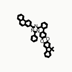 CC1(C)c2ccccc2-c2cc3c(cc21)Oc1cc(-c2ccccc2-c2nc(-c4ccccc4)nc(-c4ccc5c(ccc6ccccc65)c4)n2)ccc1O3